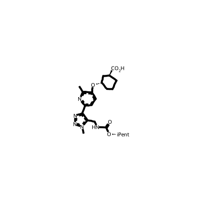 CCC[C@@H](C)OC(=O)NCc1c(-c2ccc(O[C@H]3CCC[C@H](C(=O)O)C3)c(C)n2)nnn1C